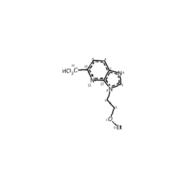 CCOCCn1cnc2ccc(C(=O)O)nc21